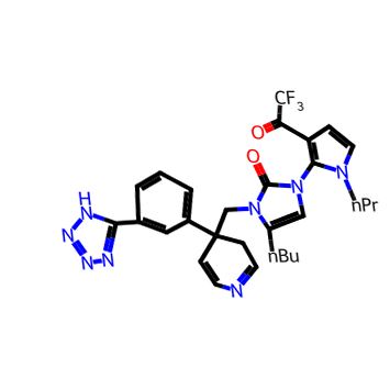 CCCCc1cn(-c2c(C(=O)C(F)(F)F)ccn2CCC)c(=O)n1CC1(c2cccc(-c3nnn[nH]3)c2)C=CN=CC1